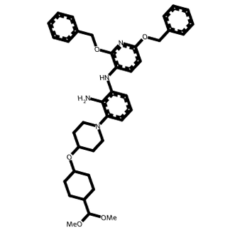 COC(OC)C1CCC(OC2CCN(c3cccc(Nc4ccc(OCc5ccccc5)nc4OCc4ccccc4)c3N)CC2)CC1